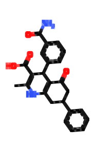 CC1=C(C(=O)O)C(c2cccc(C(N)=O)c2)C2=C(CC(c3ccccc3)CC2=O)N1